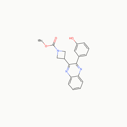 CC(C)(C)OC(=O)N1CC(c2nc3ccccc3nc2-c2cccc(O)c2)C1